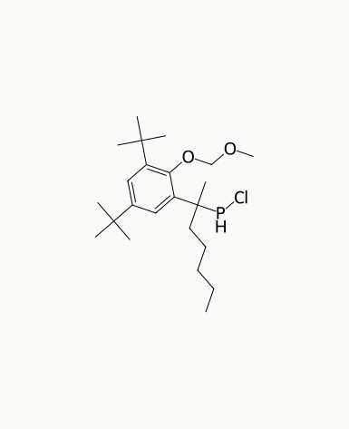 CCCCCC(C)(PCl)c1cc(C(C)(C)C)cc(C(C)(C)C)c1OCOC